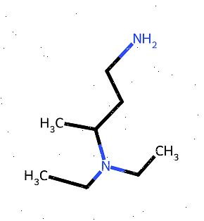 CCN(CC)C(C)CCN